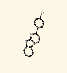 CCc1ccc(-c2ccn3c(n2)nc2ccccc23)cc1